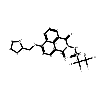 O=C1c2cccc3c(OCC4CCCO4)ccc(c23)C(=O)N1OS(=O)(=O)C(F)(F)C(F)(F)F